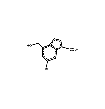 O=C(O)n1ccc2c(CO)cc(Br)cc21